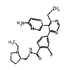 CCc1ncnc(-c2ccc(C(=O)NC[C@H]3CCCN3CC)c(F)c2)c1-c1ccc(N)nc1